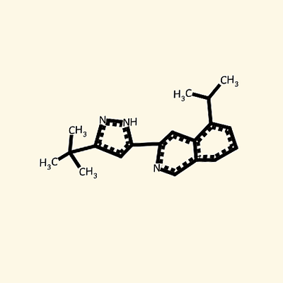 CC(C)c1cccc2cnc(-c3cc(C(C)(C)C)n[nH]3)cc12